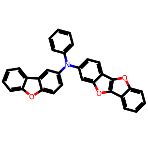 c1ccc(N(c2ccc3c(c2)oc2c4ccccc4oc32)c2ccc3oc4ccccc4c3c2)cc1